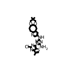 Cc1csc2c(-n3nc(Nc4cnc5c(c4)CCC4(CCC5)OCC(C)(C)CO4)nc3N)nc(Cl)nc12